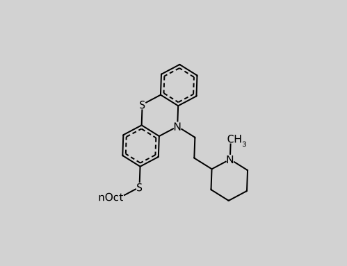 CCCCCCCCSc1ccc2c(c1)N(CCC1CCCCN1C)c1ccccc1S2